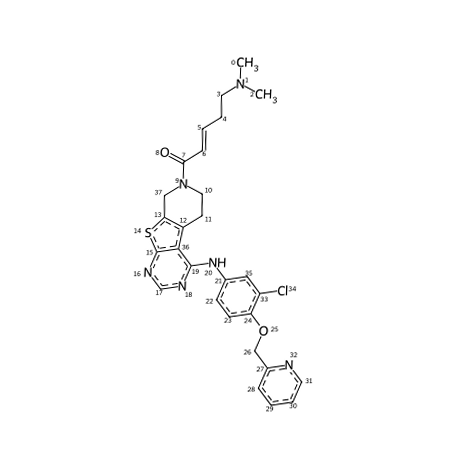 CN(C)CCC=CC(=O)N1CCc2c(sc3ncnc(Nc4ccc(OCc5ccccn5)c(Cl)c4)c23)C1